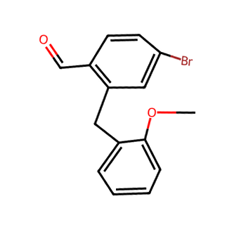 COc1ccccc1Cc1cc(Br)ccc1C=O